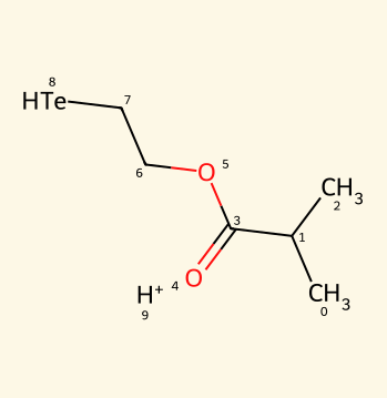 CC(C)C(=O)OCC[TeH].[H+]